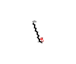 CC(C)CCCCCCCCCC1CCOO1